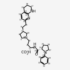 O=C(O)[C@H](CCN1CC[C@@H](CCc2ccc3c(n2)NCCC3)C1)NC(=O)[C@@H]1CCCN1c1ccccc1